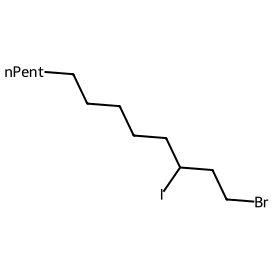 CCCCCCCCCCC(I)CCBr